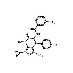 CCN1C(=O)C(NC(=O)c2cccc(C(F)(F)F)c2)C(c2ccc(F)cc2)c2c(C)nn(C3CC3)c21